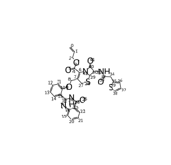 C=CCOC(=O)C1=C(COc2ccccc2-c2nc3ccccc3c(=O)[nH]2)CSC2C(NC(=O)Cc3cccs3)C(=O)N12